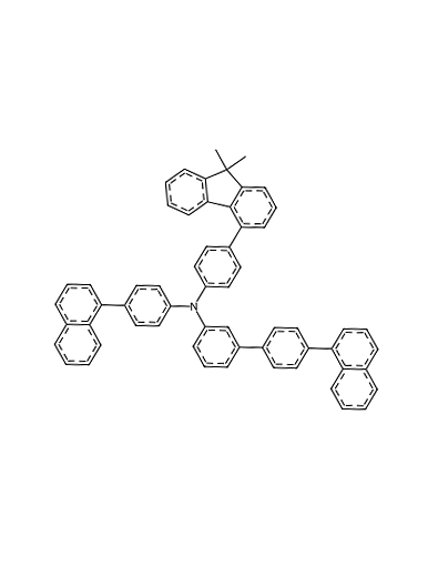 CC1(C)c2ccccc2-c2c(-c3ccc(N(c4ccc(-c5cccc6ccccc56)cc4)c4cccc(-c5ccc(-c6cccc7ccccc67)cc5)c4)cc3)cccc21